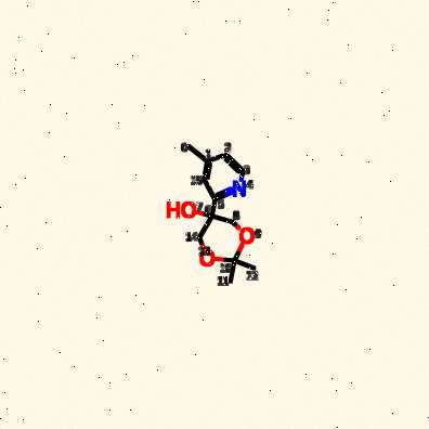 Cc1ccnc(C2(O)COC(C)(C)OC2)c1